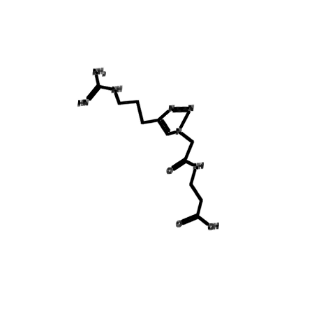 N=C(N)NCCCc1cn(CC(=O)NCCC(=O)O)nn1